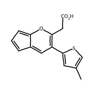 Cc1csc(-c2cc3cccc-3oc2CC(=O)O)c1